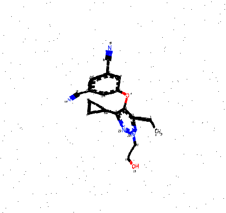 CCc1c(Oc2cc(C#N)cc(C#N)c2)c(C2CC2)nn1CCO